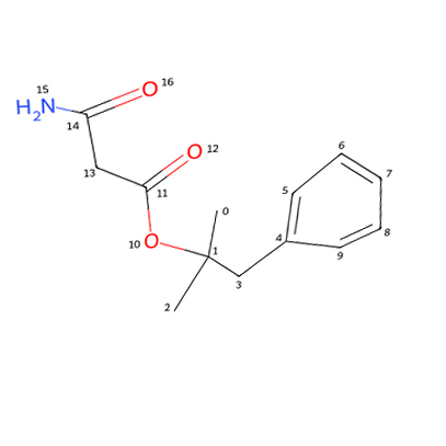 CC(C)(Cc1ccccc1)OC(=O)CC(N)=O